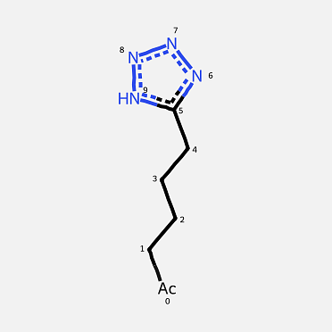 CC(=O)CCCCc1nnn[nH]1